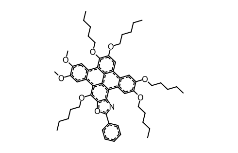 CCCCCOc1cc2c(cc1OCCCCC)c1c3nc(-c4ccccc4)oc3c(OCCCCC)c3c4cc(OC)c(OC)cc4c4c(OCCCCC)c(OCCCCC)cc2c4c31